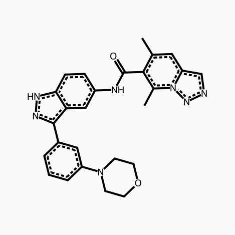 Cc1cc2cnnn2c(C)c1C(=O)Nc1ccc2[nH]nc(-c3cccc(N4CCOCC4)c3)c2c1